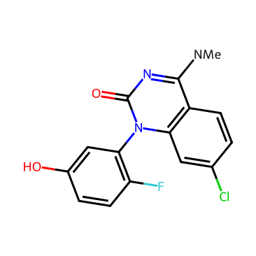 CNc1nc(=O)n(-c2cc(O)ccc2F)c2cc(Cl)ccc12